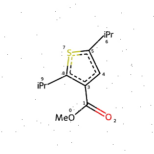 COC(=O)c1cc(C(C)C)sc1C(C)C